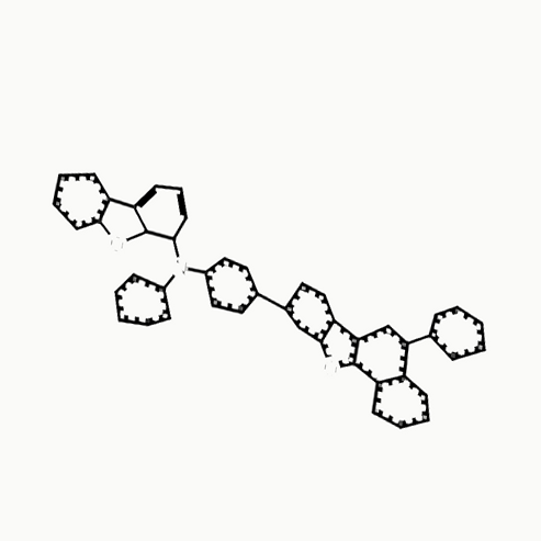 C1=CC(N(c2ccccc2)c2ccc(-c3ccc4c(c3)oc3c5ccccc5c(-c5ccccc5)cc43)cc2)C2Oc3ccccc3C2=C1